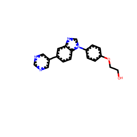 OCCOc1ccc(-n2cnc3cc(-c4cncnc4)ccc32)cc1